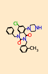 Cc1ccccc1Cn1c(=O)c2c(N3CCNCC3)cc(Cl)cc2n(Cc2ccccc2)c1=O